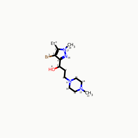 CCc1c(Br)c(C(O)CCN2CCN(C)CC2)nn1C